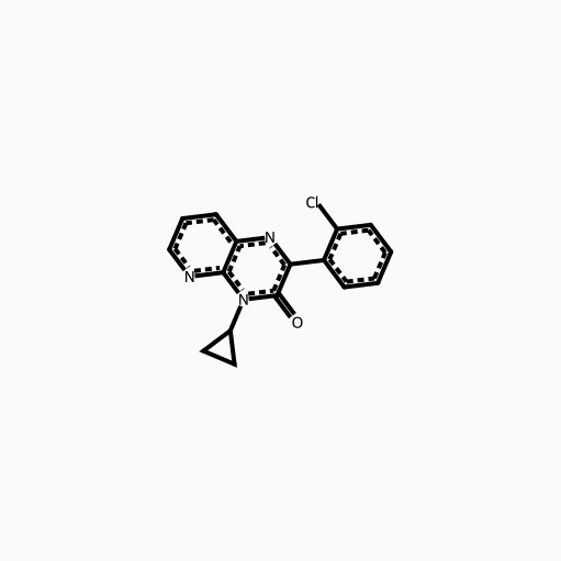 O=c1c(-c2ccccc2Cl)nc2cccnc2n1C1CC1